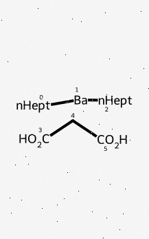 CCCCCC[CH2][Ba][CH2]CCCCCC.O=C(O)CC(=O)O